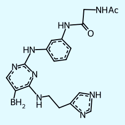 Bc1cnc(Nc2cccc(NC(=O)CNC(C)=O)c2)nc1NCCc1c[nH]cn1